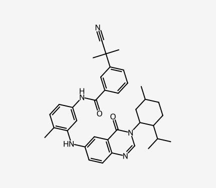 Cc1ccc(NC(=O)c2cccc(C(C)(C)C#N)c2)cc1Nc1ccc2ncn(C3CC(C)CCC3C(C)C)c(=O)c2c1